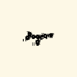 Cc1cc(S(=O)(=O)NC(=O)c2ccc(N3CCN(CC4=C(c5ccc(Cl)cc5)CC(C)(C)CC4)CC3)cc2Oc2ccc3[nH]ccc3c2)ccc1NCc1cncn1C